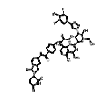 CC(=N)/N=C(\Nc1cc(Cl)ccc1C(F)(F)F)[C@@H]1O[C@H](CO)[C@H](O)[C@H](n2cc(-c3cc(F)c(Cl)c(F)c3)nn2)[C@H]1OCC(=O)NCc1ccc(C(=O)Nc2ccc3c(c2)CN(C2CCC(=O)NC2=O)C3=O)cc1